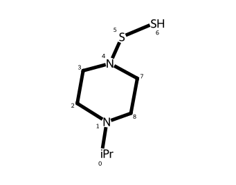 CC(C)N1CCN(SS)CC1